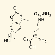 Cc1cc(=O)oc2cc(N)ccc12.Cl.NC(=O)NCCC[C@H](N)C(=O)O